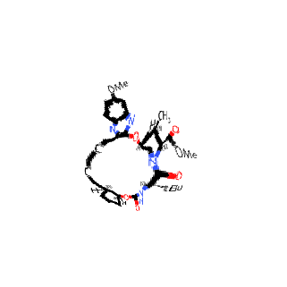 COC(=O)[C@@H]1[C@H](C)[C@@H]2CN1C(=O)[C@H](C(C)(C)C)NC(=O)O[C@@H]1CCC[C@H]1CCCCCc1nc3ccc(OC)cc3nc1O2